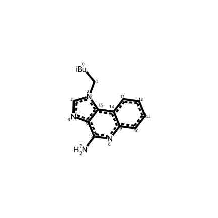 CCC(C)Cn1cnc2c(N)nc3ccccc3c21